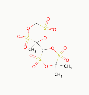 CC1(C)OS(=O)(=O)C(C2(C)OS(=O)(=O)COS2(=O)=O)OS1(=O)=O